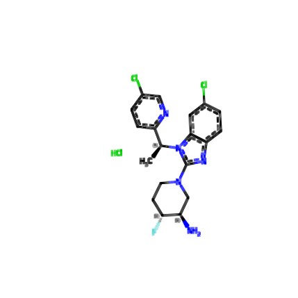 C[C@@H](c1ccc(Cl)cn1)n1c(N2CC[C@@H](F)[C@H](N)C2)nc2ccc(Cl)cc21.Cl